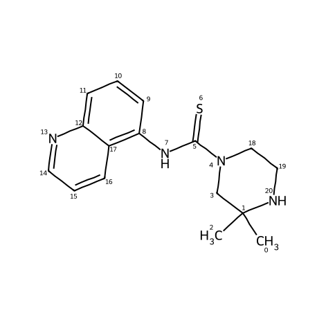 CC1(C)CN(C(=S)Nc2cccc3ncccc23)CCN1